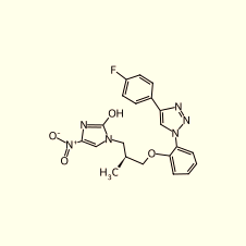 C[C@H](COc1ccccc1-n1cc(-c2ccc(F)cc2)nn1)Cn1cc([N+](=O)[O-])nc1O